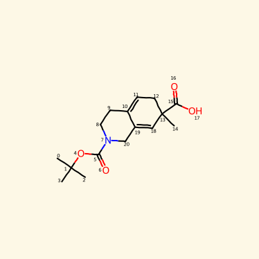 CC(C)(C)OC(=O)N1CCC2=CCC(C)(C(=O)O)C=C2C1